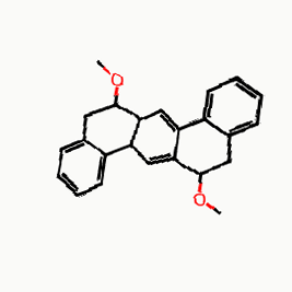 COC1Cc2ccccc2C2=CC3C(OC)Cc4ccccc4C3C=C21